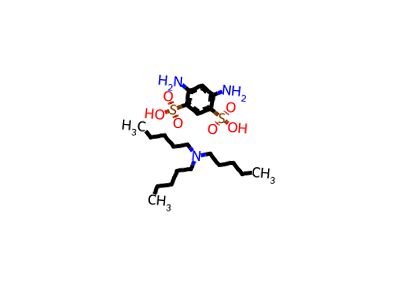 CCCCCN(CCCCC)CCCCC.Nc1cc(N)c(S(=O)(=O)O)cc1S(=O)(=O)O